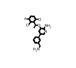 CC(Oc1cc(-c2cccc(CN)c2)cnc1N)c1c(Cl)ccc(F)c1Cl